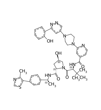 Cc1ncsc1-c1ccc([C@H](C)NC(=O)[C@@H]2C[C@@H](O)CN2C(=O)[C@@H](NC(=O)c2ccnc(N3CCN(c4cnnc(-c5ccccc5O)c4)CC3)c2)C(C)(C)C)cc1